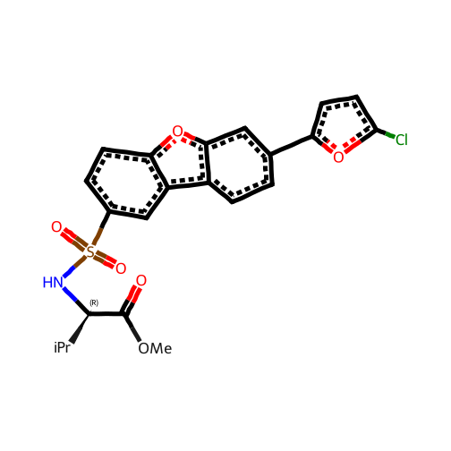 COC(=O)[C@H](NS(=O)(=O)c1ccc2oc3cc(-c4ccc(Cl)o4)ccc3c2c1)C(C)C